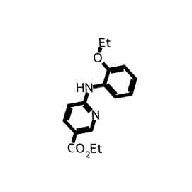 CCOC(=O)c1ccc(Nc2ccccc2OCC)nc1